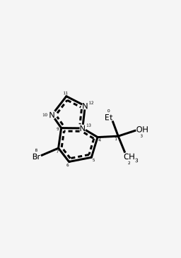 CCC(C)(O)c1ccc(Br)c2ncnn12